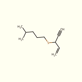 C#CC(C=C)SCCCC(C)C